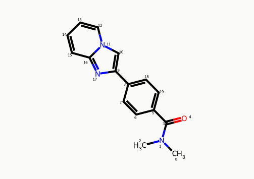 CN(C)C(=O)c1ccc(-c2cn3ccccc3n2)cc1